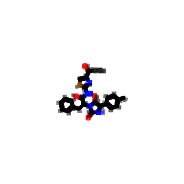 COC(=O)c1csc(NC(=O)[C@H](Cc2ccccc2)N2C(=O)NC(c3ccc(C)cc3)C2=O)n1